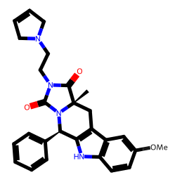 COc1ccc2[nH]c3c(c2c1)C[C@@]1(C)C(=O)N(CCN2CC=CC2)C(=O)N1[C@@H]3c1ccccc1